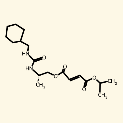 CC(C)OC(=O)/C=C/C(=O)OC[C@H](C)NC(=O)NCC1CCCCC1